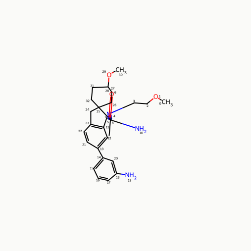 COCCN1C(=O)C2(N=C1N)c1cc(-c3cccc(N)c3)ccc1CC21CCC(OC)CC1